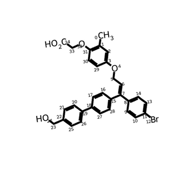 Cc1cc(OC/C=C(/c2ccc(Br)cc2)c2ccc(-c3ccc(CO)cc3)cc2)ccc1OCC(=O)O